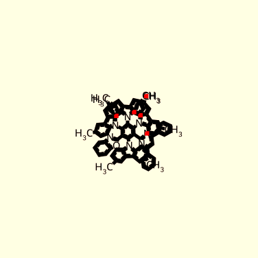 Cc1ccc2c(c1)c1cc(C)ccc1n2-c1c(-c2nc(-c3ccccc3)cc(-c3ccccc3)n2)c(-n2c3ccc(C)cc3c3cc(C)ccc32)c(-n2c3ccc(C)cc3c3cc(C)ccc32)c(-n2c3ccc(C)cc3c3cc(C)ccc32)c1-c1nc2ccccc2o1